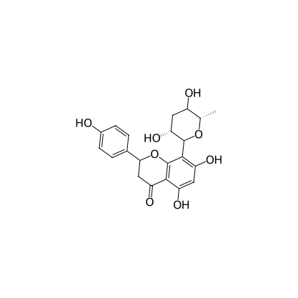 C[C@@H]1OC(c2c(O)cc(O)c3c2OC(c2ccc(O)cc2)CC3=O)[C@H](O)CC1O